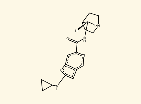 O=C(N[C@H]1CN2CCC1CC2)c1cc2sc(NC3CC3)cc2cn1